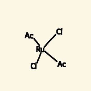 C[C](=O)[Ru]([Cl])([Cl])[C](C)=O